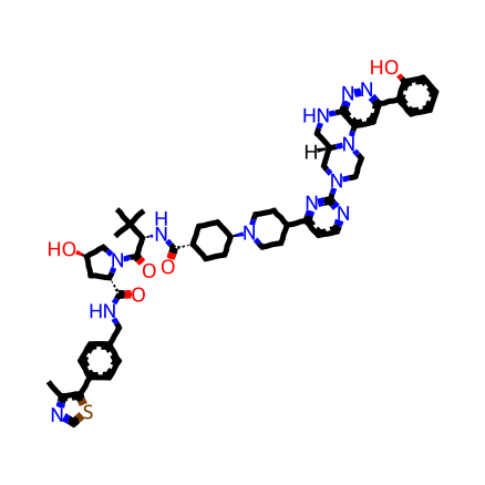 Cc1ncsc1-c1ccc(CNC(=O)[C@@H]2C[C@@H](O)CN2C(=O)[C@@H](NC(=O)[C@H]2CC[C@H](N3CCC(c4ccnc(N5CCN6c7cc(-c8ccccc8O)nnc7NC[C@H]6C5)n4)CC3)CC2)C(C)(C)C)cc1